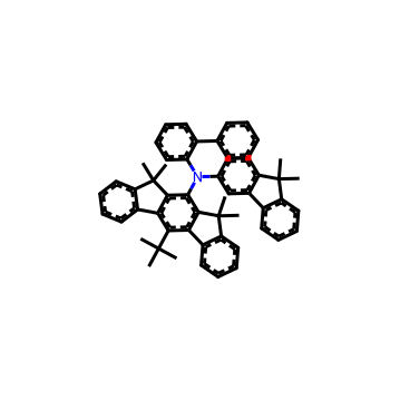 CC(C)(C)c1c2c(c(N(c3ccc4c(c3)-c3ccccc3C4(C)C)c3ccccc3-c3ccccc3)c3c1-c1ccccc1C3(C)C)C(C)(C)c1ccccc1-2